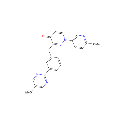 COc1cnc(-c2cccc(Cc3nn(-c4ccc(OC)nc4)ccc3=O)c2)nc1